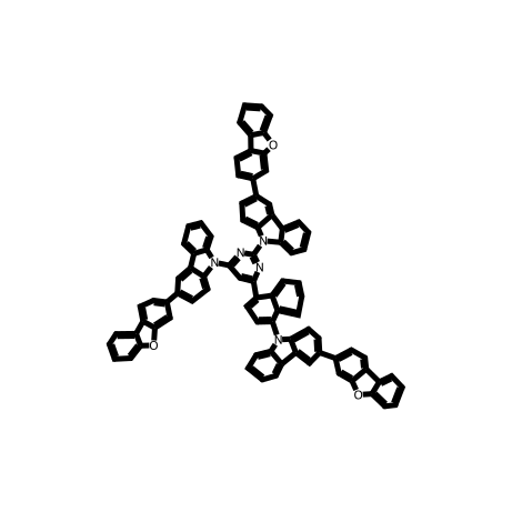 c1ccc2c(c1)oc1cc(-c3ccc4c(c3)c3ccccc3n4-c3cc(-c4ccc(-n5c6ccccc6c6cc(-c7ccc8c(c7)oc7ccccc78)ccc65)c5ccccc45)nc(-n4c5ccccc5c5cc(-c6ccc7c(c6)oc6ccccc67)ccc54)n3)ccc12